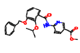 COC(=O)c1ccc(NC(=O)c2cccc(OCc3ccccc3)c2OC(C)C)nc1